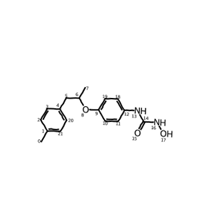 Cc1ccc(CC(C)Oc2ccc(NC(=O)NO)cc2)cc1